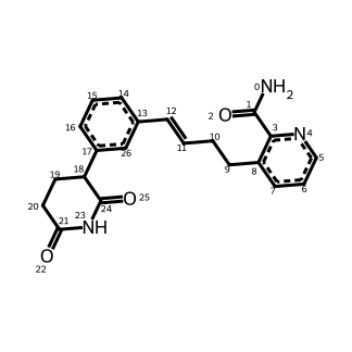 NC(=O)c1ncccc1CCC=Cc1cccc(C2CCC(=O)NC2=O)c1